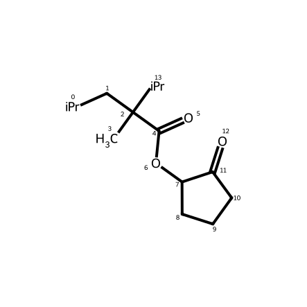 CC(C)CC(C)(C(=O)OC1CCCC1=O)C(C)C